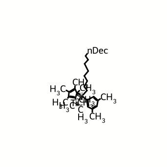 CCCCCCCCCCCCCCCCCC[Si](C)(c1cc(C)cc(C)c1)C1(C)C(C)=C(C)C(C)=[C]1[Ti]([CH3])([CH3])[CH3]